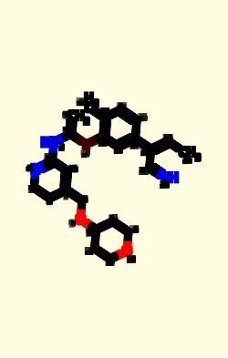 C=C(NC1=NCCC(COC2CCOCC2)=C1)Sc1cc(/C(C=N)=C/C)ccc1C